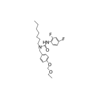 CCCCCCCN(Cc1ccc(OCOCC)cc1)C(=O)Nc1ccc(F)cc1F